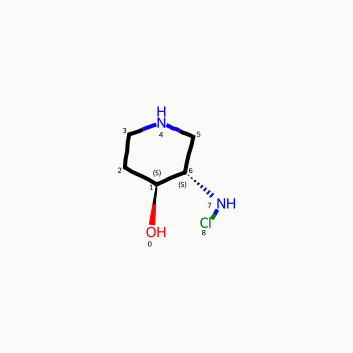 O[C@H]1CCNC[C@@H]1NCl